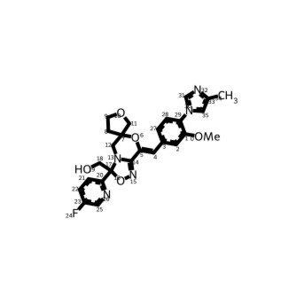 COc1cc(/C=C2\OC3(CCOC3)CN3C2=NOC3(CO)c2ccc(F)cn2)ccc1-n1cnc(C)c1